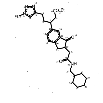 CCOC(=O)CC(CCc1cn(CC)nn1)c1ccc2c(c1)C(=O)C(CC(=O)NCC1CCCCC1)C2